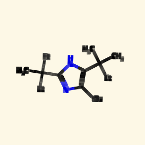 CCC(C)(C)c1[nH]c(C(C)(CC)CC)nc1C(C)(C)C